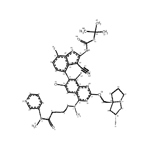 CN(CCCC(=O)N(C)c1cccnc1)c1nc(OC[C@@]23CCCN2C[C@H](F)C3)nc2c(F)c(-c3ccc(F)c4sc(NC(=O)OC(C)(C)C)c(C#N)c34)c(Cl)cc12